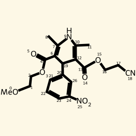 COCCOC(=O)C1=C(C)NC(C)=C(C(=O)OCCC#N)C1c1cccc([N+](=O)[O-])c1